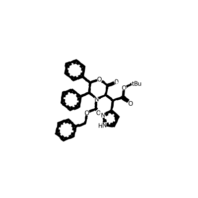 CC(C)(C)OC(=O)C(c1cc[nH]n1)C1C(=O)OC(c2ccccc2)C(c2ccccc2)N1C(=O)OCc1ccccc1